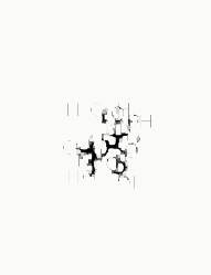 CC(C)Cn1c(=O)n(C)c(=O)c2c(C(=O)N3CC(O)CO3)c(Cn3c(CO)nc(Cl)c3Cl)sc21